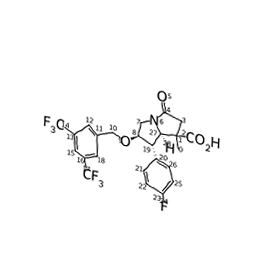 CC1(C(=O)O)CC(=O)N2C[C@H](OCc3cc(C(F)(F)F)cc(C(F)(F)F)c3)[C@@H](c3ccc(F)cc3)[C@@H]21